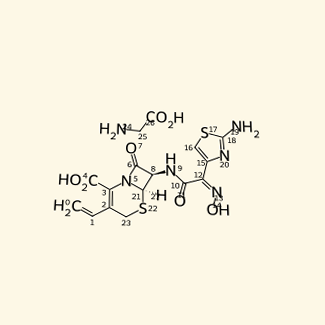 C=CC1=C(C(=O)O)N2C(=O)[C@@H](NC(=O)/C(=N\O)c3csc(N)n3)[C@H]2SC1.NCC(=O)O